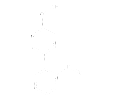 COc1ccc(-c2ccccc2P=O)cc1